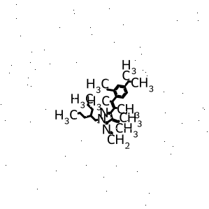 C=C/N=C1\C(=C(C)C)C(/C(C)=C(\C)c2ccc(C(C)C)cc2CC)=NN1CC(CCC)CCC